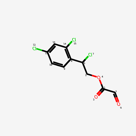 O=CC(=O)OCC(Cl)c1ccc(Cl)cc1Cl